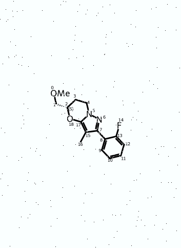 COC[C@@H]1CCn2nc(-c3ccccc3F)c(C)c2O1